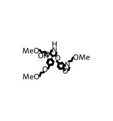 COCCCOCc1ccc([C@@H]2[C@@H](OCc3ccc4c(c3)N(CCCOC)CCO4)CNC[C@H]2OC[C@@H](O)COC)cc1